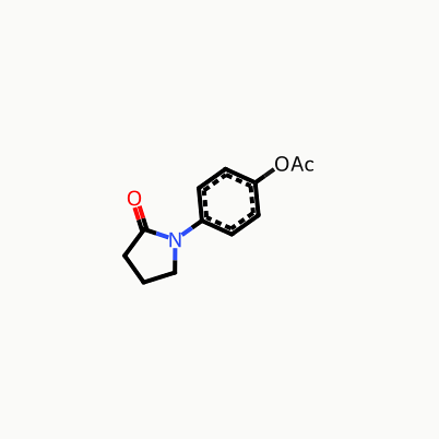 CC(=O)Oc1ccc(N2CCCC2=O)cc1